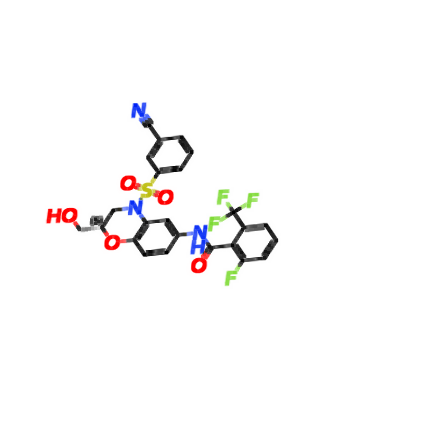 N#Cc1cccc(S(=O)(=O)N2C[C@@H](CO)Oc3ccc(NC(=O)c4c(F)cccc4C(F)(F)F)cc32)c1